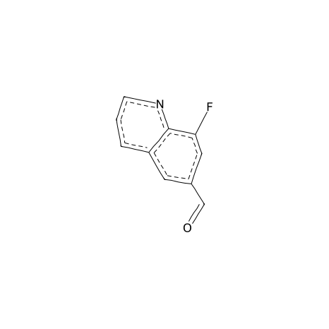 O=Cc1cc(F)c2ncccc2c1